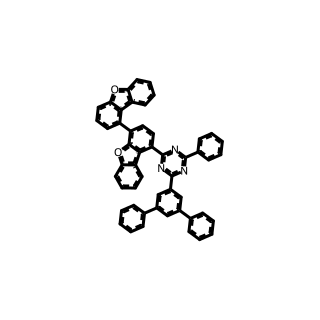 c1ccc(-c2cc(-c3ccccc3)cc(-c3nc(-c4ccccc4)nc(-c4ccc(-c5cccc6oc7ccccc7c56)c5oc6ccccc6c45)n3)c2)cc1